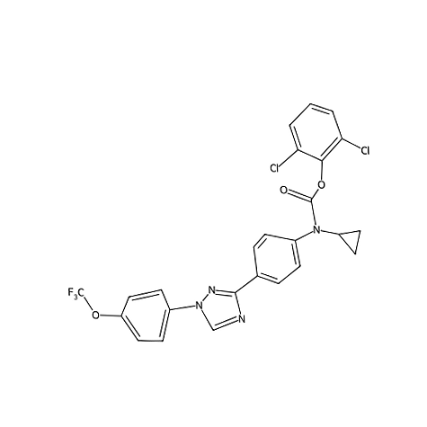 O=C(Oc1c(Cl)cccc1Cl)N(c1ccc(-c2ncn(-c3ccc(OC(F)(F)F)cc3)n2)cc1)C1CC1